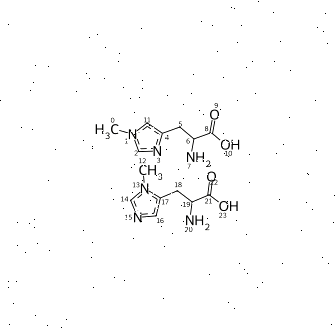 Cn1cnc(CC(N)C(=O)O)c1.Cn1cncc1CC(N)C(=O)O